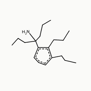 CCCc1cccc(C(N)(CCC)CCC)c1CCC